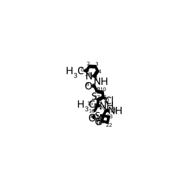 Cc1cccc(NC(=O)c2cc(Cl)c([C@]3(C)CS(=O)(=O)C4(CCC4)C(=N)N3)s2)n1